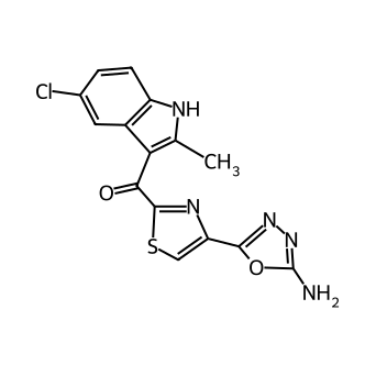 Cc1[nH]c2ccc(Cl)cc2c1C(=O)c1nc(-c2nnc(N)o2)cs1